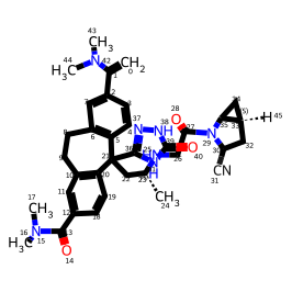 C=C(c1ccc2c(c1)CCc1cc(C(=O)N(C)C)ccc1C2(C[C@@H](C)NCC(=O)N1C(C#N)C[C@@H]2CC21)c1n[nH]c(=O)[nH]1)N(C)C